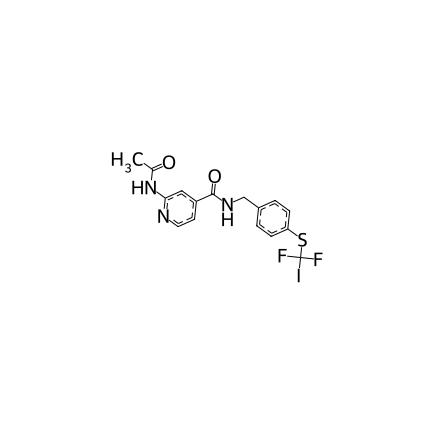 CC(=O)Nc1cc(C(=O)NCc2ccc(SC(F)(F)I)cc2)ccn1